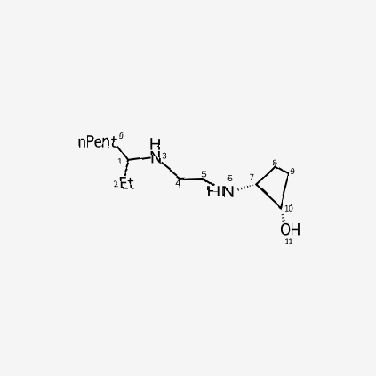 CCCCCC(CC)NCCN[C@@H]1CC[C@@H]1O